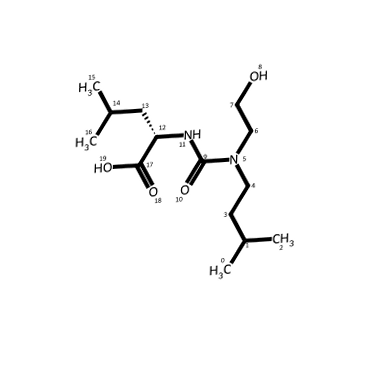 CC(C)CCN(CCO)C(=O)N[C@@H](CC(C)C)C(=O)O